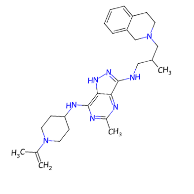 C=C(C)N1CCC(Nc2nc(C)nc3c(NCC(C)CN4CCc5ccccc5C4)n[nH]c23)CC1